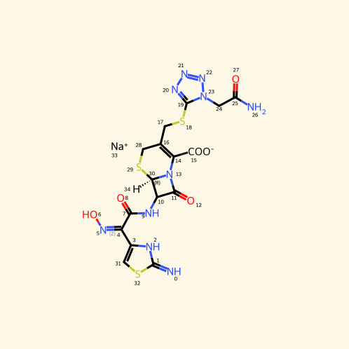 N=c1[nH]c(/C(=N/O)C(=O)NC2C(=O)N3C(C(=O)[O-])=C(CSc4nnnn4CC(N)=O)CS[C@H]23)cs1.[Na+]